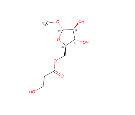 CO[C@H]1O[C@H](COC(=O)CCO)[C@@H](O)[C@@H]1O